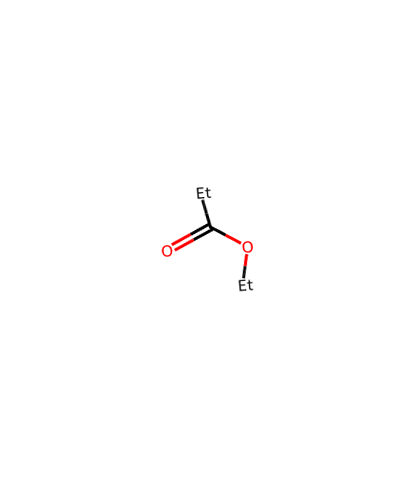 [CH]CC(=O)OCC